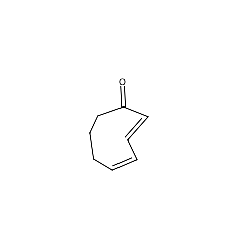 O=C1/C=C/C=C\CCC1